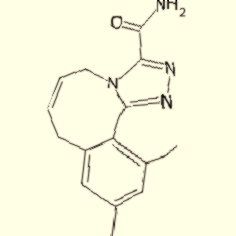 Cc1cc(C)c2c(c1)C/C=C\Cn1c(C(N)=O)nnc1-2